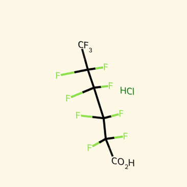 Cl.O=C(O)C(F)(F)C(F)(F)C(F)(F)C(F)(F)C(F)(F)F